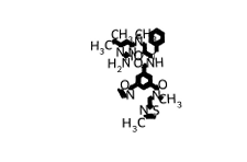 Cc1csc(CN(C)C(=O)c2cc(C(=O)N[C@@H](Cc3ccccc3)[C@H](O)CN(C)c3cc(C(C)C)nc(N)n3)cc(-c3ncco3)c2)n1